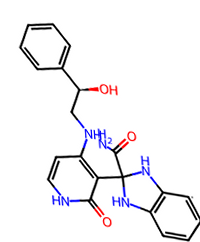 NC(=O)C1(c2c(NC[C@H](O)c3ccccc3)cc[nH]c2=O)Nc2[c]cccc2N1